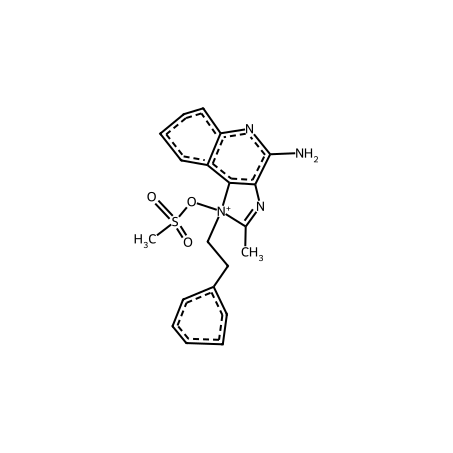 CC1=Nc2c(N)nc3ccccc3c2[N+]1(CCc1ccccc1)OS(C)(=O)=O